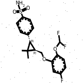 CC1(C)[C@H](COc2cc(F)ccc2OC(F)F)[C@H]1c1ccc(S(N)(=O)=O)cc1